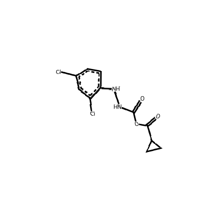 O=C(NNc1ccc(Cl)cc1Cl)OC(=O)C1CC1